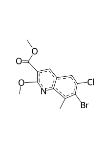 COC(=O)c1cc2cc(Cl)c(Br)c(C)c2nc1OC